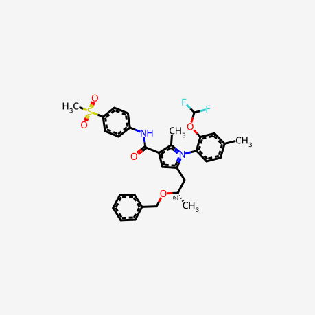 Cc1ccc(-n2c(C[C@H](C)OCc3ccccc3)cc(C(=O)Nc3ccc(S(C)(=O)=O)cc3)c2C)c(OC(F)F)c1